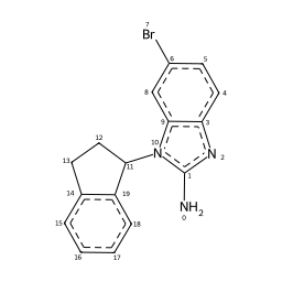 Nc1nc2ccc(Br)cc2n1C1CCc2ccccc21